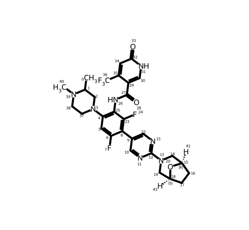 CC1CN(c2cc(F)c(-c3cnc(N4C[C@H]5CC[C@@H](C4)O5)nc3)c(F)c2NC(=O)c2c[nH]c(=O)cc2C(F)(F)F)CCN1C